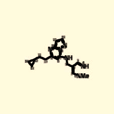 CN/C=C(\C=N)CNc1cc(CCC2CC2)nc2ccnn12